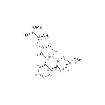 COC(=O)[C@@H](N)CC1=COC=C(C2=CC=CC[C@@H]2c2ccc(OC(C)=O)cc2)O1